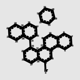 Brc1cc2c3ccccc3ccc2c2c(-c3cccc4ccccc34)cccc12.c1ccccc1